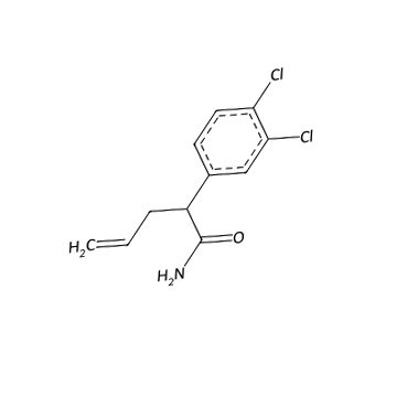 C=CCC(C(N)=O)c1ccc(Cl)c(Cl)c1